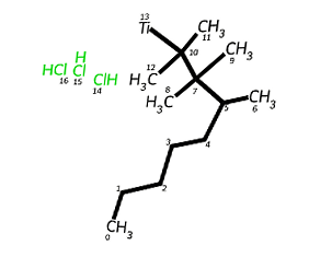 CCCCCC(C)C(C)(C)[C](C)(C)[Ti].Cl.Cl.Cl